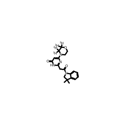 [2H]C1([2H])OCCN(c2cc(=O)[nH]c(CC(=O)N3CC(C)(C)c4ccccc43)n2)C1([2H])[2H]